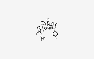 CCC[C@@H](NC(=O)N1C(=O)C(CC)(CC)C1OC(C)(C)C(=O)N(CC)CCN(C)C)c1ccc(C)cc1